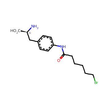 N[C@@H](Cc1ccc(NC(=O)CCCCCBr)cc1)C(=O)O